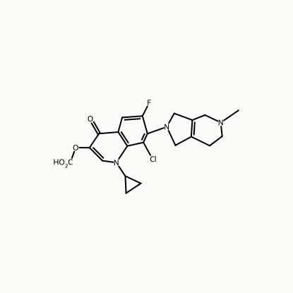 CN1CCC2=C(C1)CN(c1c(F)cc3c(=O)c(OC(=O)O)cn(C4CC4)c3c1Cl)C2